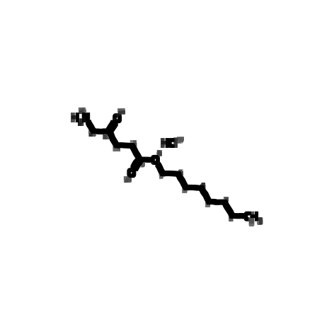 CCCCCCCCOC(=O)CCC(=O)CN.Cl